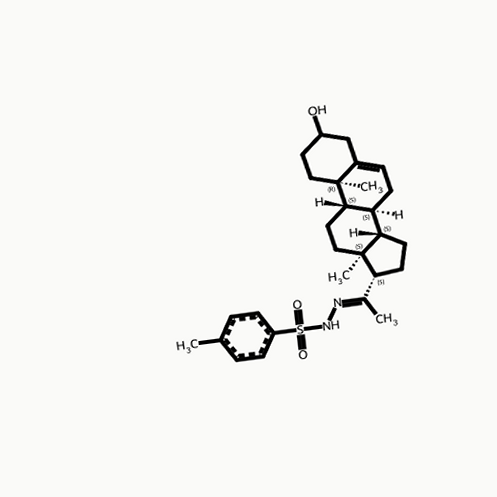 CC(=NNS(=O)(=O)c1ccc(C)cc1)[C@H]1CC[C@H]2[C@@H]3CC=C4CC(O)CC[C@]4(C)[C@H]3CC[C@]12C